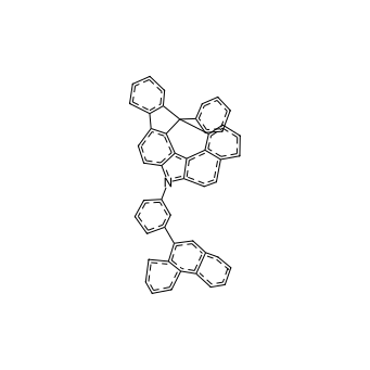 c1ccc(C23c4ccccc4-c4ccc5c(c42)c2c4c3cccc4ccc2n5-c2cccc(-c3cc4ccccc4c4ccccc34)c2)cc1